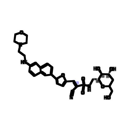 N#C/C(=C\c1ccc(-c2ccc3cc(NCCN4CCOCC4)ccc3c2)o1)S(=O)(=O)NC[C@H]1OC(CO)C[C@@H](O)[C@@H]1O